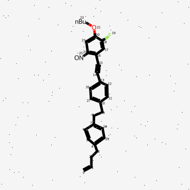 C=CCCc1ccc(CCc2ccc(C#Cc3cc(F)c(OCCCC)cc3N=O)cc2)cc1